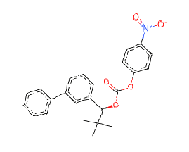 CC(C)(C)[C@H](OC(=O)Oc1ccc([N+](=O)[O-])cc1)c1cccc(-c2ccccc2)c1